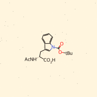 CC(=O)N[C@H](Cc1cn(C(=O)OC(C)(C)C)c2ccccc12)C(=O)O